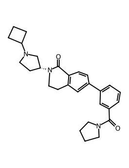 O=C(c1cccc(-c2ccc3c(c2)CCN([C@@H]2CCN(C4CCC4)C2)C3=O)c1)N1CCCC1